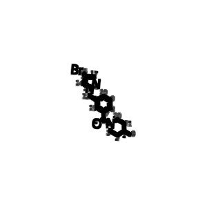 CC1CCN(C(=O)c2cccc(Cn3cc(Br)cn3)c2)CC1